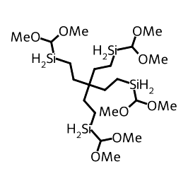 COC(OC)[SiH2]CCC(CC[SiH2]C(OC)OC)(CC[SiH2]C(OC)OC)CC[SiH2]C(OC)OC